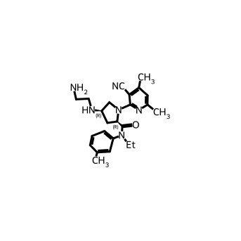 CCN(C(=O)[C@H]1C[C@@H](NCCN)CN1c1nc(C)cc(C)c1C#N)c1cccc(C)c1